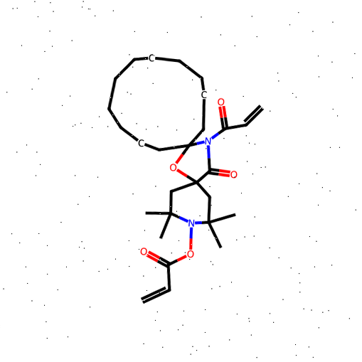 C=CC(=O)ON1C(C)(C)CC2(CC1(C)C)OC1(CCCCCCCCCCC1)N(C(=O)C=C)C2=O